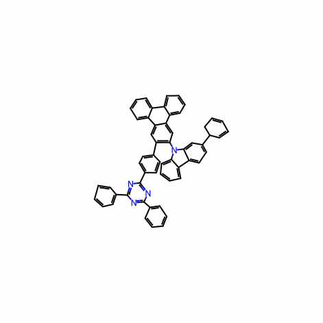 C1=CCC(c2ccc3c4ccccc4n(-c4cc5c6ccccc6c6ccccc6c5cc4-c4ccc(-c5nc(-c6ccccc6)nc(-c6ccccc6)n5)cc4)c3c2)C=C1